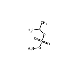 CC(C)OS(=O)(=O)ON